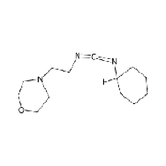 IC1(N=C=NCCN2CCOCC2)CCCCC1